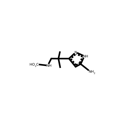 CC(C)(CNC(=O)O)c1cc(N)[nH]n1